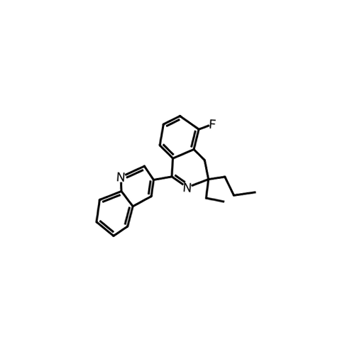 CCCC1(CC)Cc2c(F)cccc2C(c2cnc3ccccc3c2)=N1